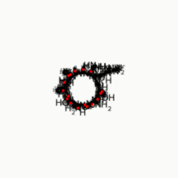 CCCC[C@H]1C(=O)N(C)[C@@H](CCCC)C(=O)N[C@@H](CCCNC(=N)N)C(=O)N[C@H](C(=O)NCC(=O)NCC(=O)N[C@@H](CCN=[N+]=[N-])C(N)=O)CSCC(=O)NC(Cc2ccc(O)cc2)C(=O)N(C)[C@@H](C)C(=O)N[C@@H](CC(N)=O)C(=O)N2CCC[C@H]2C(=O)N[C@@H](CN)C(=O)N[C@@H](CC(C)C)C(=O)N2C[C@H](O)C[C@H]2C(=O)N[C@@H](Cc2c[nH]c3ccccc23)C(=O)N[C@@H](CO)C(=O)N[C@@H](Cc2csc3ccccc23)C(=O)N1C